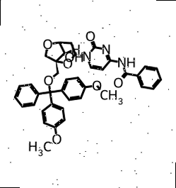 COc1ccc(C(OC[C@]23COC(C[C@H](n4ccc(NC(=O)c5ccccc5)nc4=O)O2)[C@@H]3O)(c2ccccc2)c2ccc(OC)cc2)cc1